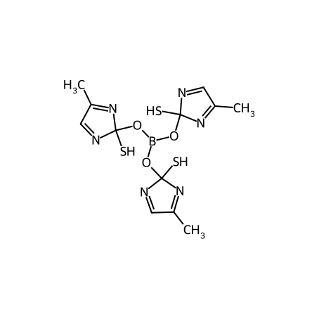 CC1=NC(S)(OB(OC2(S)N=CC(C)=N2)OC2(S)N=CC(C)=N2)N=C1